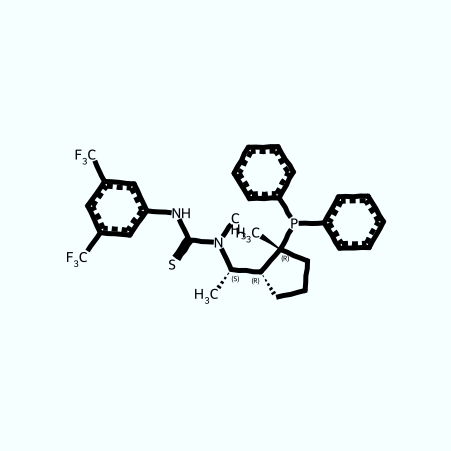 C[C@@H]([C@H]1CCC[C@@]1(C)P(c1ccccc1)c1ccccc1)N(C)C(=S)Nc1cc(C(F)(F)F)cc(C(F)(F)F)c1